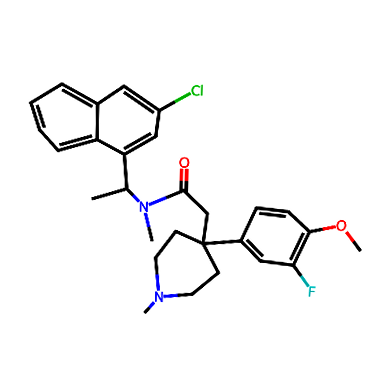 COc1ccc(C2(CC(=O)N(C)C(C)c3cc(Cl)cc4ccccc34)CCN(C)CC2)cc1F